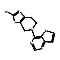 Brc1nc2c(s1)CN(c1ncnc3ccsc13)CC2